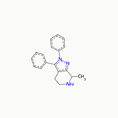 CC1NCCc2c1nn(-c1ccccc1)c2-c1ccccc1